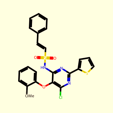 COc1ccccc1Oc1c(Cl)nc(-c2cccs2)nc1NS(=O)(=O)/C=C/c1ccccc1